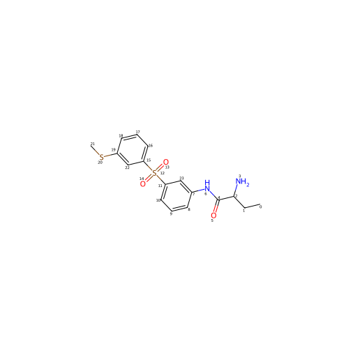 CCC(N)C(=O)Nc1cccc(S(=O)(=O)c2cccc(SC)c2)c1